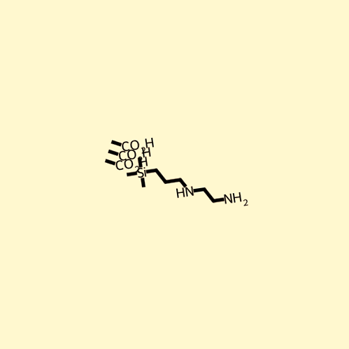 CC(=O)O.CC(=O)O.CC(=O)O.C[Si](C)(C)CCCNCCN